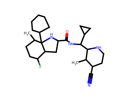 CC1C(C#N)CCNC1C(NC(=O)C1CC2C(F)CCC(C)C2(C2CCCCC2)N1)C1CC1